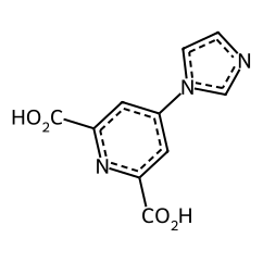 O=C(O)c1cc(-n2ccnc2)cc(C(=O)O)n1